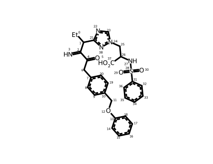 CCC(C(=N)C(=O)Cc1ccc(COc2ccccc2)cc1)c1ncn(CC(NS(=O)(=O)c2ccccc2)C(=O)O)n1